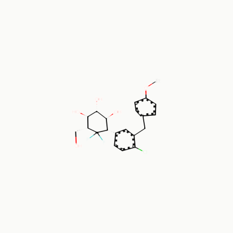 CCOc1ccc(Cc2cc([C@H]3[C@H](O)[C@@H](O)[C@H](O)[C@@H](CO)C3(F)F)ccc2Cl)cc1